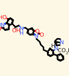 O=C(O)N(c1cc(CCCCCn2c(=O)oc3cc(CNC[C@H](O)c4ccc(O)c5[nH]c(=O)ccc45)ccc32)ccc1-c1ccccc1)[C@H]1CN2CCC1CC2